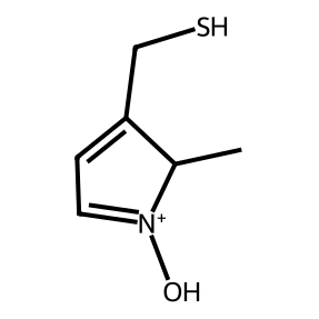 CC1C(CS)=CC=[N+]1O